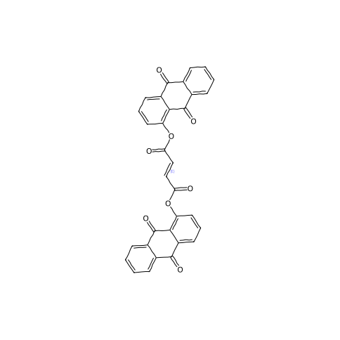 O=C(/C=C/C(=O)Oc1cccc2c1C(=O)c1ccccc1C2=O)Oc1cccc2c1C(=O)c1ccccc1C2=O